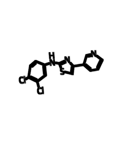 Clc1ccc(Nc2nc(-c3cccnc3)cs2)cc1Cl